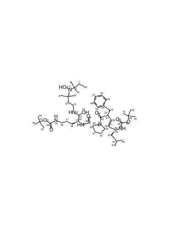 CCC(C)(C)N(O)C(C)(C)CCNC(O)[C@H](CCCNC(=O)OC(C)(C)C)NC(=O)[C@H]1CCCN1C(=O)[C@H](/C=C/[C@H](CC(C)C)NC(=O)OC(C)(C)C)Cc1ccccc1